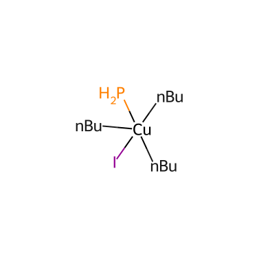 CCC[CH2][Cu]([PH2])([I])([CH2]CCC)[CH2]CCC